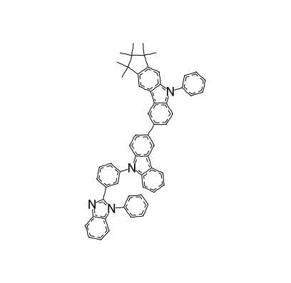 CC1(C)c2cc3c4cc(-c5ccc6c(c5)c5ccccc5n6-c5cccc(-c6nc7ccccc7n6-c6ccccc6)c5)ccc4n(-c4ccccc4)c3cc2C(C)(C)C1(C)C